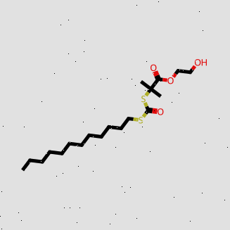 CCCCCCCCCCCCSC(=O)SC(C)(C)C(=O)OCCO